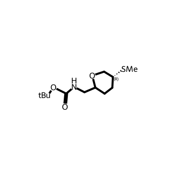 CS[C@@H]1CCC(CNC(=O)OC(C)(C)C)OC1